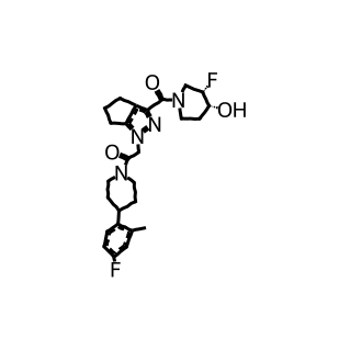 Cc1cc(F)ccc1C1CCN(C(=O)Cn2nc(C(=O)N3CC[C@@H](O)[C@@H](F)C3)c3c2CCC3)CC1